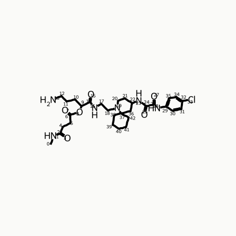 CNC(=O)CCC(=O)OC(CCCN)C(=O)NCCN1CCC(NC(=O)C(=O)Nc2ccc(Cl)cc2)CC12CCCCC2